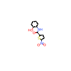 O=C(Nc1ccccc1O)c1ccc([N+](=O)[O-])s1